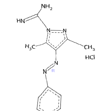 Cc1nn(C(=N)N)c(C)c1/N=N/c1ccccc1.Cl